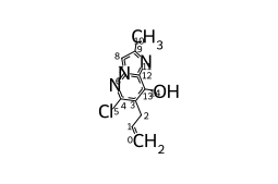 C=CCc1c(Cl)nn2cc(C)nc2c1O